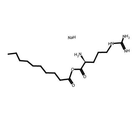 CCCCCCCCCC(=O)OC(=O)[C@@H](N)CCCNC(=N)N.[NaH]